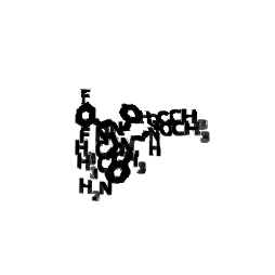 CC(C)(C)OC(=O)NCCCN(Cc1ccc(N)cc1)C(c1nc(-c2cc(F)ccc2F)cn1Cc1ccccc1)C(C)(C)C